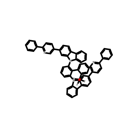 FC(F)(F)c1ccccc1-c1c(-n2c3ccccc3c3ccc(-c4ccc(-c5ccccc5)nc4)cc32)cccc1-n1c2ccccc2c2ccc(-c3ccc(-c4ccccc4)nc3)cc21